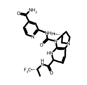 C[C@@H](NC(=O)C1C=CC2=C(N1)N(C(=O)Nc1cc(C(N)=O)ccn1)[C@H]1CCN2C1)C(F)(F)F